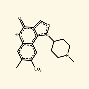 Cc1cc2[nH]c(=O)c3cnn(C4CCN(C)CC4)c3c2cc1C(=O)O